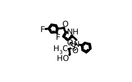 CC(CO)S(=O)(=O)N(Cc1ccc(C(=O)c2ccc(F)cc2F)[nH]1)c1ccccc1